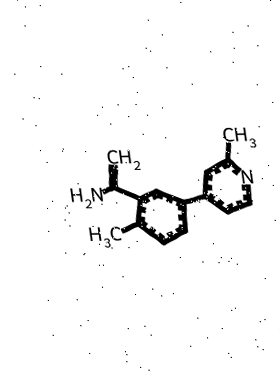 C=C(N)c1cc(-c2ccnc(C)c2)ccc1C